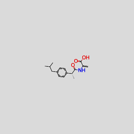 C=C(NC(=O)[C@H](C)c1ccc(CC(C)C)cc1)C(=O)O